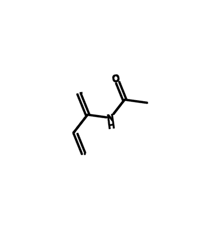 [CH]=CC(=[CH])NC(C)=O